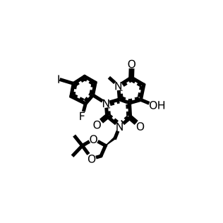 Cn1c(=O)cc(O)c2c(=O)n(C[C@H]3COC(C)(C)O3)c(=O)n(-c3ccc(I)cc3F)c21